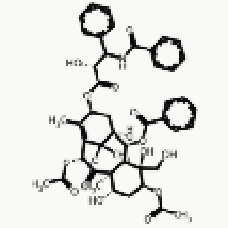 CC(=O)O[C@H]1C(=O)[C@@]2(C)C([C@H](OC(=O)c3ccccc3)[C@]3(O)C[C@H](OC(=O)[C@H](O)C(NC(=O)c4ccccc4)c4ccccc4)C(C)=C1C3(C)C)[C@](O)(CO)[C@@H](OC(C)=O)C[C@@H]2O